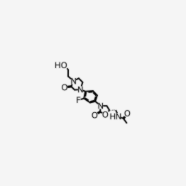 CC(=O)NC[C@H]1CN(c2ccc(N3CCN(CCO)C(=O)C3)c(F)c2)C(=O)O1